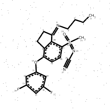 CCCC/N=C1/CCc2c(Oc3cc(F)cc(F)c3)ccc(S(C)(=O)=NC#N)c21